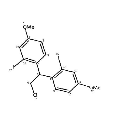 COc1ccc(C(CCl)c2ccc(OC)cc2I)c(I)c1